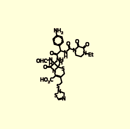 CCN1CCN(C(=O)NC(C(=O)N[C@]2(NC=O)C(=O)N3C(C(=O)O)=C(CSN4CN=CS4)CS[C@H]32)c2ccc(N)cc2)C(=O)C1=O